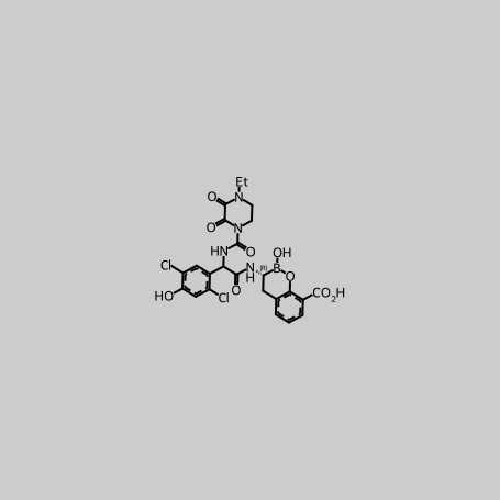 CCN1CCN(C(=O)NC(C(=O)N[C@H]2Cc3cccc(C(=O)O)c3OB2O)c2cc(Cl)c(O)cc2Cl)C(=O)C1=O